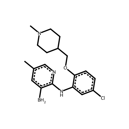 Bc1cc(C)cnc1Nc1cc(Cl)ccc1OCC1CCN(C)CC1